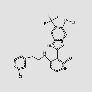 COc1cc2cc(-c3c(NCCc4cccc(Cl)c4)cc[nH]c3=O)[nH]c2cc1C(F)(F)F